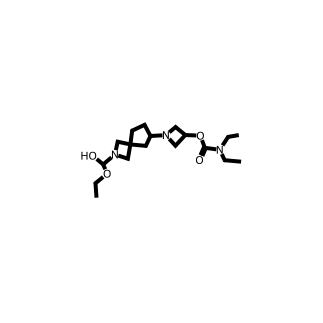 CCOC(O)N1CC2(CCC(N3CC(OC(=O)N(CC)CC)C3)C2)C1